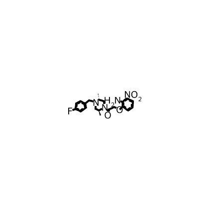 C[C@@H]1CN(C(=O)COc2cccc([N+](=O)[O-])c2N)[C@@H](C)CN1Cc1ccc(F)cc1